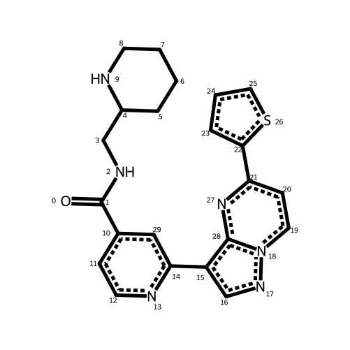 O=C(NCC1CCCCN1)c1ccnc(-c2cnn3ccc(-c4cccs4)nc23)c1